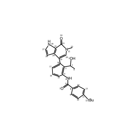 CC(O)c1c(NC(=O)c2ccc(C(C)(C)C)cc2)cccc1-c1cn(C)c(=O)c2[nH]ccc12